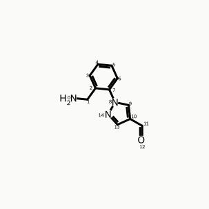 NCc1ccccc1-n1cc(C=O)cn1